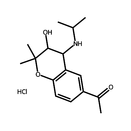 CC(=O)c1ccc2c(c1)C(NC(C)C)C(O)C(C)(C)O2.Cl